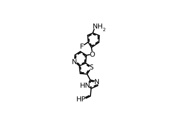 Nc1ccc(Oc2ccnc3cc(-c4ncc(C=P)[nH]4)sc23)c(F)c1